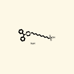 O=S(=O)(O)CCCCCCCCCCN1CCN(C(c2ccccc2)c2ccccc2)CC1.[NaH]